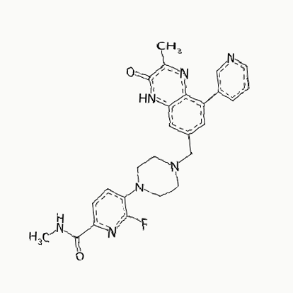 CNC(=O)c1ccc(N2CCN(Cc3cc(-c4cccnc4)c4nc(C)c(=O)[nH]c4c3)CC2)c(F)n1